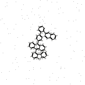 c1ccc(-c2ccc3ccccc3c2)c(-c2ccc(-c3c4ccccc4c(-c4cccc5oc6ccccc6c45)c4ccccc34)cc2)c1